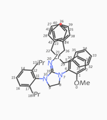 COc1ccccc1N1CCN(c2c(C(C)C)cccc2C(C)C)/C1=[N]/[Zr]([CH2]c1ccccc1)([CH2]c1ccccc1)[CH2]c1ccccc1